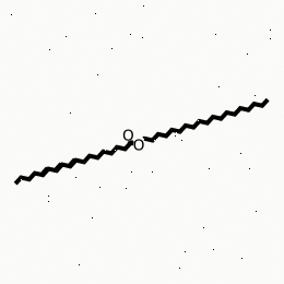 CCCCC=CC=CC=CCCCCCCCC(=O)OCCCCCCCCCCCCCCCCCCC